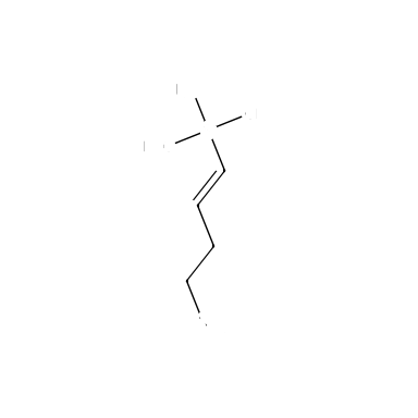 C[Si](C)(C)C=CCCN